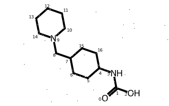 O=C(O)NC1CCC(CN2CCCCC2)CC1